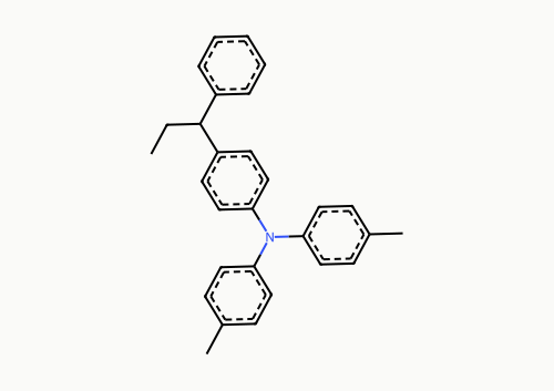 CCC(c1ccccc1)c1ccc(N(c2ccc(C)cc2)c2ccc(C)cc2)cc1